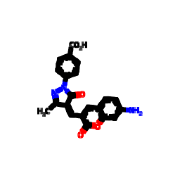 CC1=NN(c2ccc(C(=O)O)cc2)C(=O)/C1=C\c1cc2ccc(N)cc2oc1=O